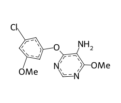 COc1cc(Cl)cc(Oc2ncnc(OC)c2N)c1